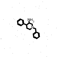 NC1CN(Cc2ccccc2)CCC1c1ccccc1